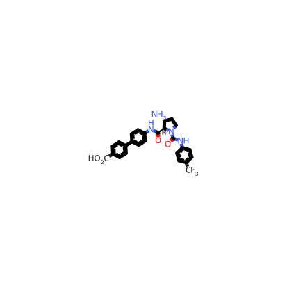 N.O=C(O)c1ccc(-c2ccc(NC(=O)[C@H]3CCCN3C(=O)Nc3ccc(C(F)(F)F)cc3)cc2)cc1